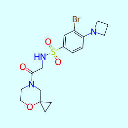 O=C(CNS(=O)(=O)c1ccc(N2CCC2)c(Br)c1)N1CCOC2(CC2)C1